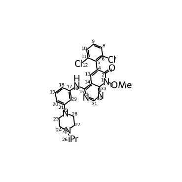 COn1c(=O)c(-c2c(Cl)cccc2Cl)cc2c(Nc3cccc(N4CCN(C(C)C)CC4)c3)ncnc21